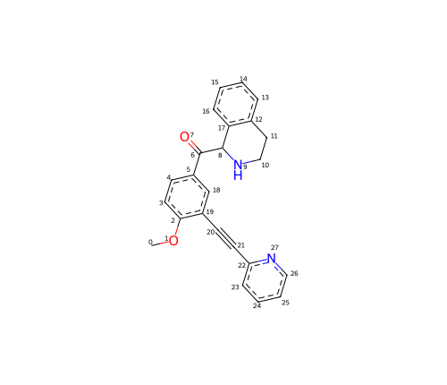 COc1ccc(C(=O)C2NCCc3ccccc32)cc1C#Cc1ccccn1